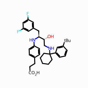 CC(C)(C)c1cccc(C2(NC[C@@H](O)[C@H](Cc3cc(F)cc(F)c3)Nc3ccc(CCC(=O)O)cc3)CCCCC2)c1